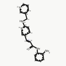 Nc1ccccc1NC(=O)/C=C/c1ccc(NCc2cccnc2)nc1